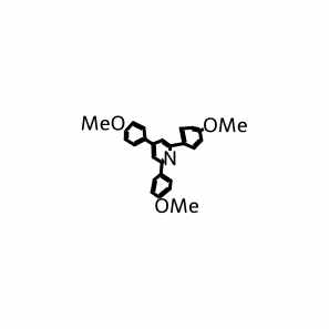 COc1ccc(-c2cc(-c3ccc(OC)cc3)nc(-c3ccc(OC)cc3)c2)cc1